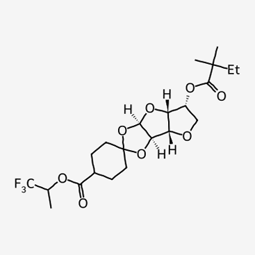 CCC(C)(C)C(=O)O[C@@H]1CO[C@@H]2[C@H]3OC4(CCC(C(=O)OC(C)C(F)(F)F)CC4)O[C@H]3O[C@@H]21